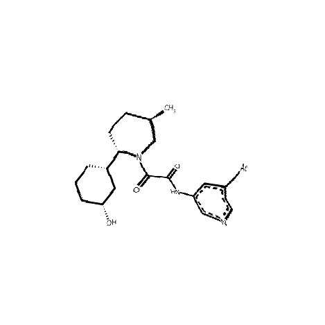 CC(=O)c1cncc(NC(=O)C(=O)N2C[C@H](C)CC[C@H]2[C@H]2CCC[C@@H](O)C2)c1